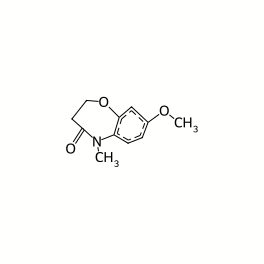 COc1ccc2c(c1)OCCC(=O)N2C